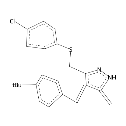 C=c1[nH]nc(CSc2ccc(Cl)cc2)c1=Cc1ccc(C(C)(C)C)cc1